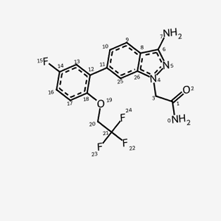 NC(=O)Cn1nc(N)c2ccc(-c3cc(F)ccc3OCC(F)(F)F)cc21